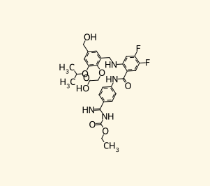 CCOC(=O)NC(=N)c1ccc(NC(=O)c2cc(F)c(F)cc2NCc2cc(CO)cc(OC(C)C)c2OCC(=O)O)cc1